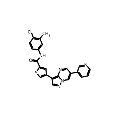 Cc1cc(NC(=O)c2cc(-c3cnn4cc(-c5cccnc5)cnc34)cs2)ccc1Cl